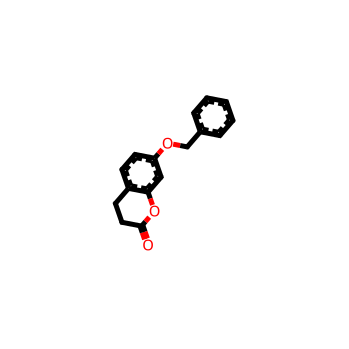 O=C1CCc2ccc(OCc3ccccc3)cc2O1